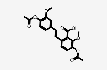 COc1cc(C=Cc2ccc(OC(C)=O)c(OC)c2C(=O)O)ccc1OC(C)=O